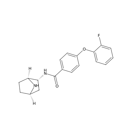 O=C(N[C@@H]1C[C@H]2CC[C@@H]1N2)c1ccc(Oc2ccccc2F)cc1